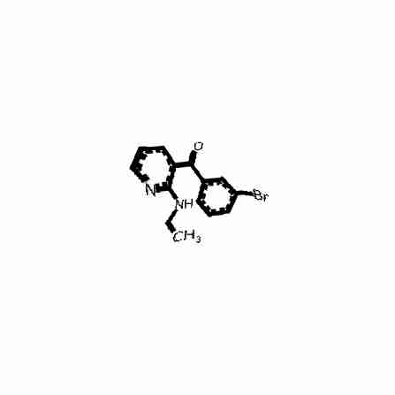 CCNc1ncccc1C(=O)c1cccc(Br)c1